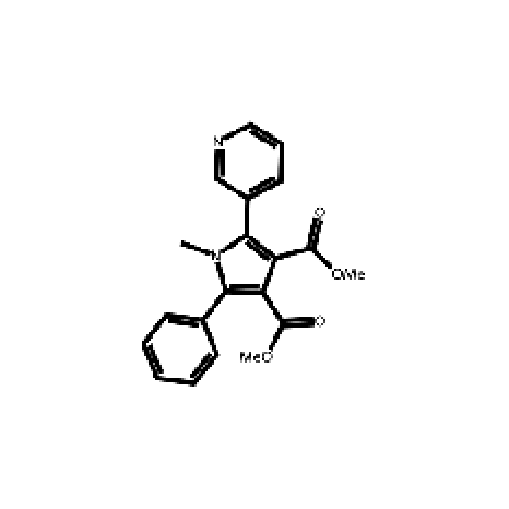 COC(=O)c1c(C(=O)OC)c(-c2cccnc2)n(C)c1-c1ccccc1